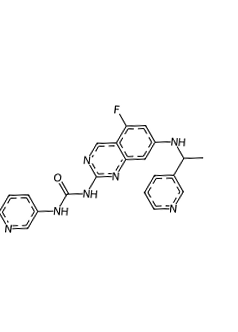 CC(Nc1cc(F)c2cnc(NC(=O)Nc3cccnc3)nc2c1)c1cccnc1